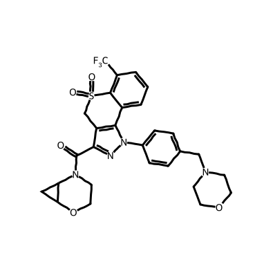 O=C(c1nn(-c2ccc(CN3CCOCC3)cc2)c2c1CS(=O)(=O)c1c-2cccc1C(F)(F)F)N1CCOC2CC21